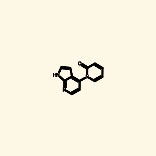 O=c1ccccn1-c1ccnc2[nH]ccc12